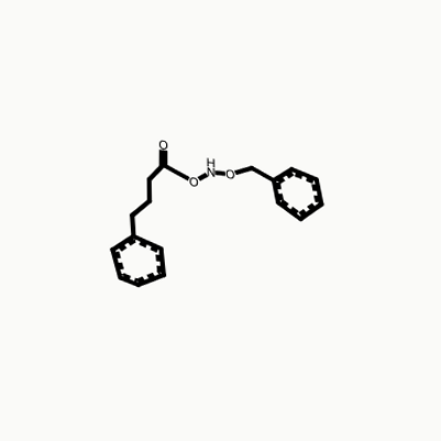 O=C(CCCc1ccccc1)ONOCc1ccccc1